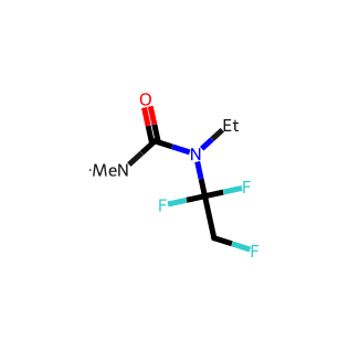 CCN(C(=O)[N]C)C(F)(F)CF